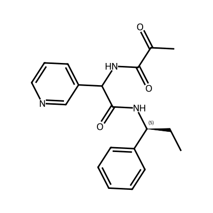 CC[C@H](NC(=O)C(NC(=O)C(C)=O)c1cccnc1)c1ccccc1